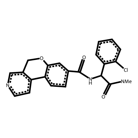 CNC(=O)C(NC(=O)c1ccc2c(c1)OCc1cnccc1-2)c1ccccc1Cl